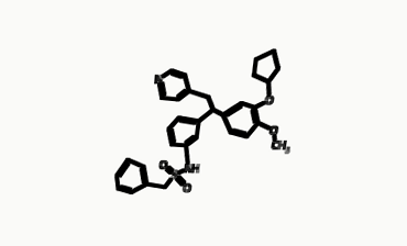 COc1ccc(C(Cc2ccncc2)c2cccc(NS(=O)(=O)Cc3ccccc3)c2)cc1OC1CCCC1